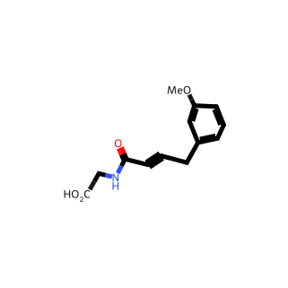 COc1cccc(CC#CC(=O)NCC(=O)O)c1